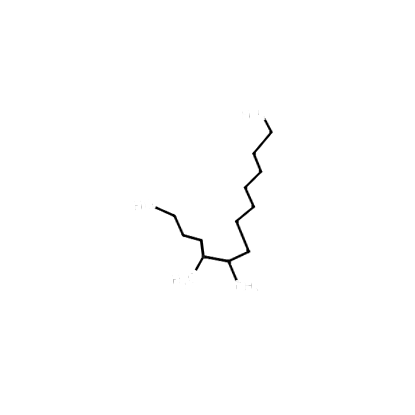 CCCCCCCCC(C)C(C)CCCO